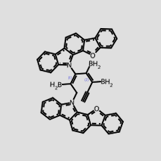 B/C(C#C)=C(B)/C(=C(/B)Cn1c2ccccc2c2ccc3c4ccccc4oc3c21)n1c2ccccc2c2ccc3c4ccccc4oc3c21